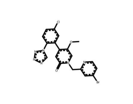 COc1cn(Cc2cc(Br)ccn2)c(=O)cc1-c1cc(Cl)ccc1-n1cnnn1